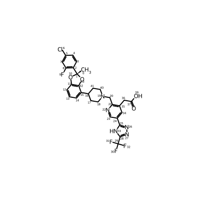 C[C@]1(c2ccc(Cl)cc2F)Oc2cccc(C3CCN(Cc4ncc(-c5nnc(C(F)(F)F)[nH]5)cc4CC(=O)O)CC3)c2O1